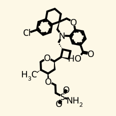 C[C@@H]1CO[C@@H]([C@@H]2CC[C@H]2CN2C[C@@]3(CCCc4cc(Cl)ccc43)COc3ccc(C(=O)O)cc32)C[C@H]1OCCS(N)(=O)=O